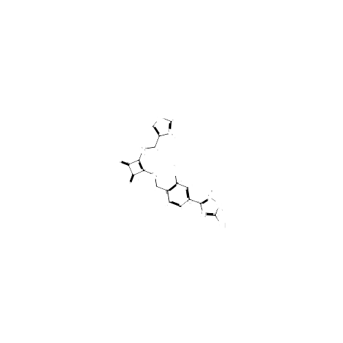 O=c1c(NCc2cocn2)c(NCc2ccc(-c3noc(C(F)(F)F)n3)cc2F)c1=O